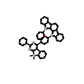 C[Si]1(C)c2ccccc2-c2c(-c3ccc(-n4c5ccccc5c5ccc6c7ccccc7n(-c7ccccc7)c6c54)cc3)nc(-c3ccccc3)nc21